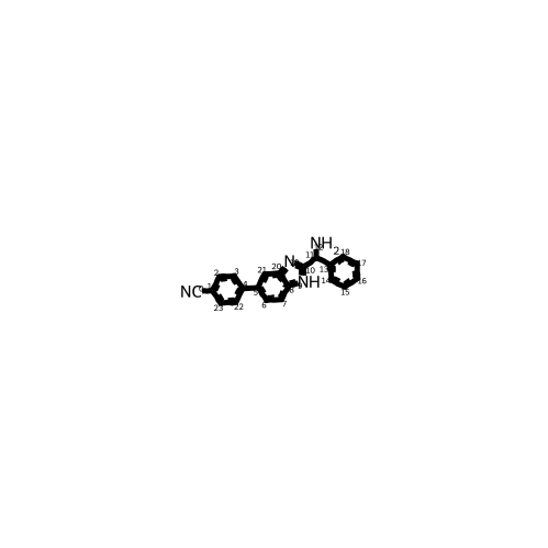 N#Cc1ccc(-c2ccc3[nH]c(C(N)c4ccccc4)nc3c2)cc1